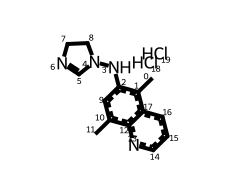 Cc1c(NN2C=NCC2)cc(C)c2ncccc12.Cl.Cl